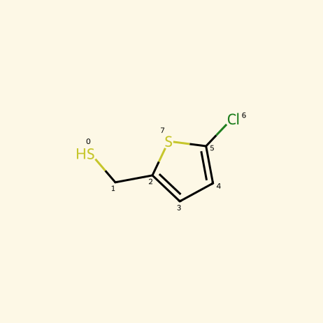 SCc1ccc(Cl)s1